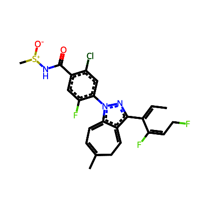 C/C=C(\C(F)=C/CF)c1nn(-c2cc(Cl)c(C(=O)N[S+](C)[O-])cc2F)c2c1=CCC(C)=CC=2